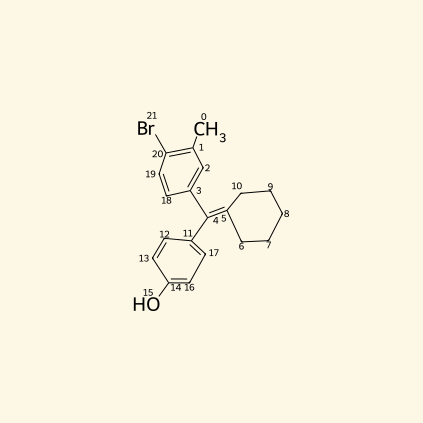 Cc1cc(C(=C2CCCCC2)c2ccc(O)cc2)ccc1Br